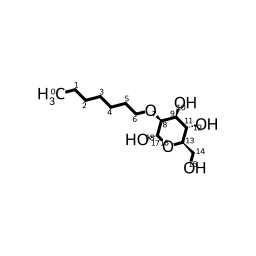 CCCCCCCO[C@H]1[C@@H](O)[C@H](O)[C@@H](CO)O[C@@H]1O